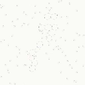 c1cc(-c2ccc3c(c2)sc2c3ccc3oc4c5ccccc5ccc4c32)cc(-c2c3ccccc3c(-c3cccc4ccccc34)c3ccccc23)c1